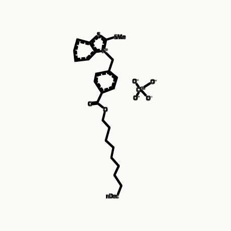 CCCCCCCCCCCCCCCCCCOC(=O)c1ccc(C[n+]2c(SC)sc3ccccc32)cc1.[O-][Cl+3]([O-])([O-])[O-]